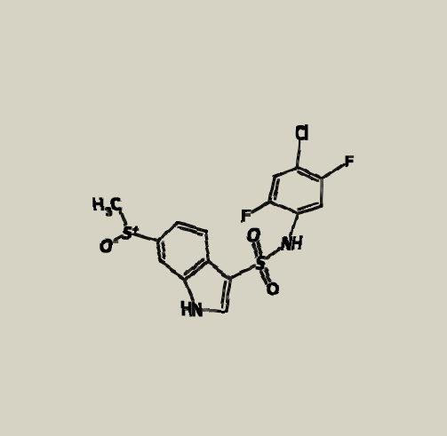 C[S+]([O-])c1ccc2c(S(=O)(=O)Nc3cc(F)c(Cl)cc3F)c[nH]c2c1